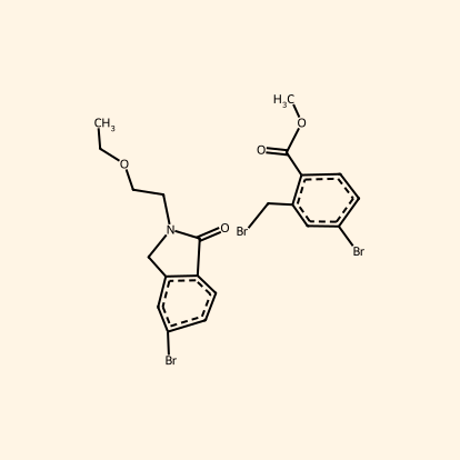 CCOCCN1Cc2cc(Br)ccc2C1=O.COC(=O)c1ccc(Br)cc1CBr